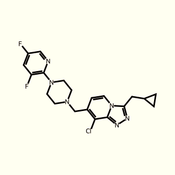 Fc1cnc(N2CCN(Cc3ccn4c(CC5CC5)nnc4c3Cl)CC2)c(F)c1